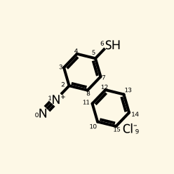 N#[N+]c1ccc(S)cc1.[Cl-].c1ccccc1